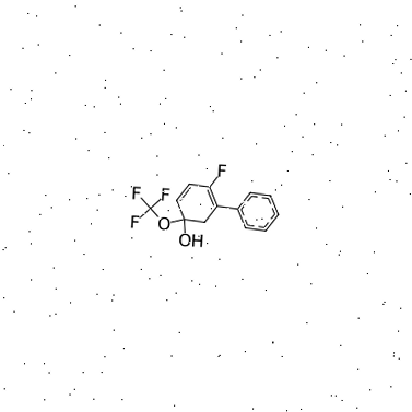 OC1(OC(F)(F)F)C=CC(F)=C(c2ccccc2)C1